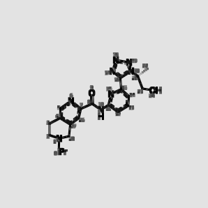 CC(C)N1CCc2cnc(C(=O)Nc3cccc(-c4nnnn4[C@H](C)CO)n3)cc2C1